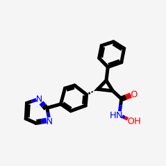 O=C(NO)C1C(c2ccccc2)[C@H]1c1ccc(-c2ncccn2)cc1